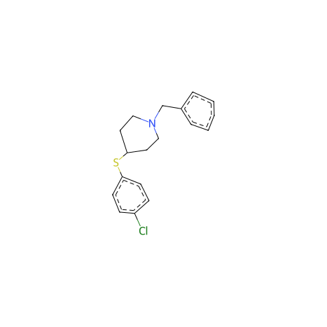 Clc1ccc(SC2CCN(Cc3ccccc3)CC2)cc1